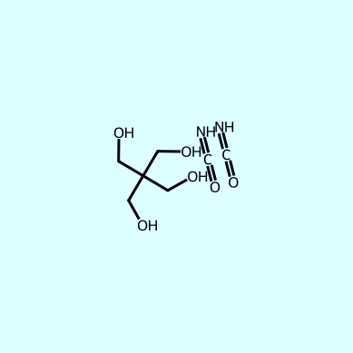 N=C=O.N=C=O.OCC(CO)(CO)CO